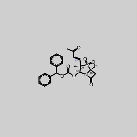 CC(=O)/C=C/[C@@]1(C)[C@H](OC(=O)OC(c2ccccc2)c2ccccc2)N2C(=O)C[C@H]2S1(=O)=O